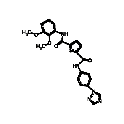 COc1cccc(NC(=O)c2ccc(C(=O)Nc3ccc(-n4cncn4)cc3)s2)c1OC